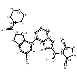 C[C@@H](c1cc2nccc(-c3cc(Cl)cc4c3O[C@@H](C(=O)N3CCNCC3)C4)c2s1)N1C(=O)CCC1=O